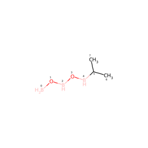 BOBOBC(C)C